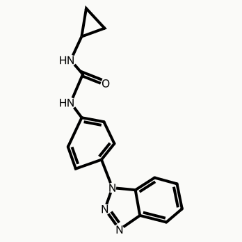 O=C(Nc1ccc(-n2nnc3ccccc32)cc1)NC1CC1